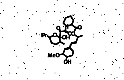 COC1C=C(/C=C/C(C)OC(=O)C2CCCCN2C(=O)C(=O)C2(O)OC(C(C)C)CCC2C)CCC1O